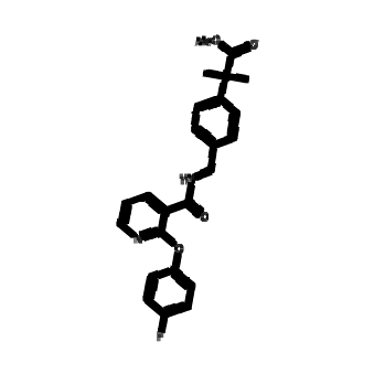 COC(=O)C(C)(C)c1ccc(CNC(=O)c2cccnc2Oc2ccc(F)cc2)cc1